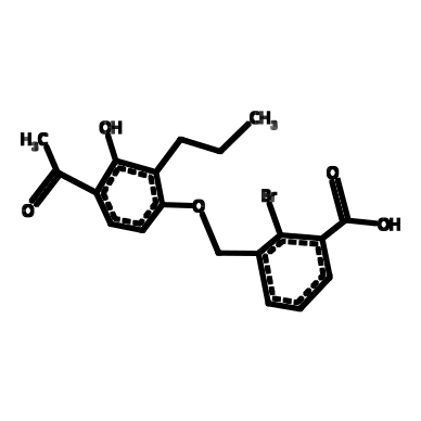 CCCc1c(OCc2cccc(C(=O)O)c2Br)ccc(C(C)=O)c1O